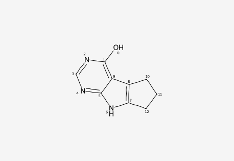 Oc1ncnc2[nH]c3c(c12)CCC3